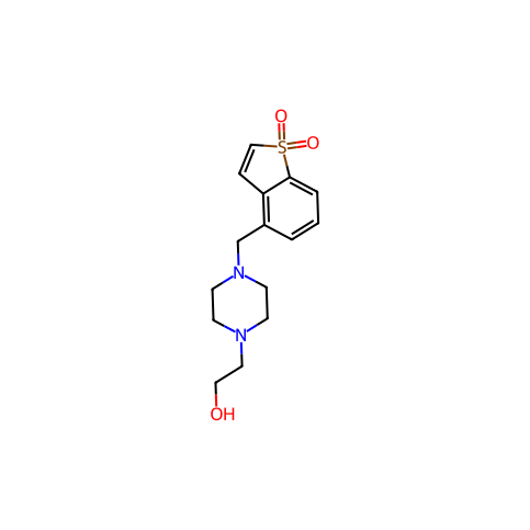 O=S1(=O)C=Cc2c(CN3CCN(CCO)CC3)cccc21